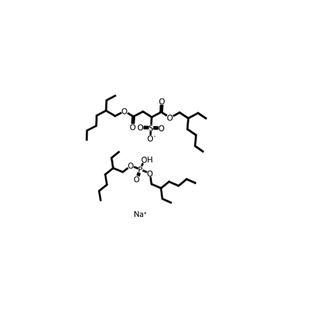 CCCCC(CC)COC(=O)CC(C(=O)OCC(CC)CCCC)S(=O)(=O)[O-].CCCCC(CC)COP(=O)(O)OCC(CC)CCCC.[Na+]